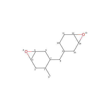 CC1CC2OC2CC1CC1CCC2OC2C1